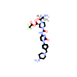 CC(C)(N)C(=O)N1CCN(C(=O)Nc2ccn(-c3ccc(CN4CCC(N)CC4)cc3)c(=O)n2)C[C@H]1C(=O)OC(=O)C(F)(F)F